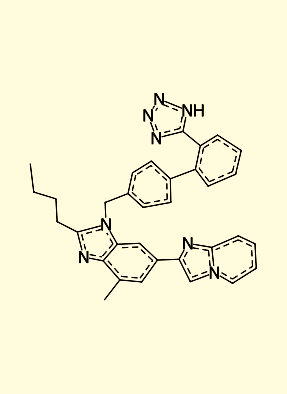 CCCCc1nc2c(C)cc(-c3cn4ccccc4n3)cc2n1Cc1ccc(-c2ccccc2-c2nnn[nH]2)cc1